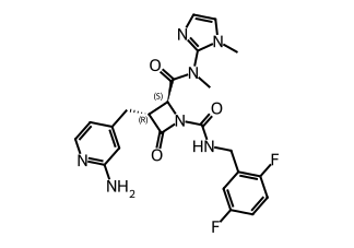 CN(C(=O)[C@@H]1[C@@H](Cc2ccnc(N)c2)C(=O)N1C(=O)NCc1cc(F)ccc1F)c1nccn1C